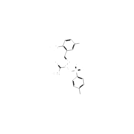 Cc1ccc(S(=O)(=O)ON(N=Cc2cc(Cl)ccc2[N+](=O)[O-])C(=N)N)cc1